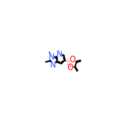 C=C1OB(c2cnc3c(c2)nc(C)n3C)OC1=C